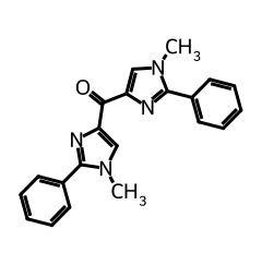 Cn1cc(C(=O)c2cn(C)c(-c3ccccc3)n2)nc1-c1ccccc1